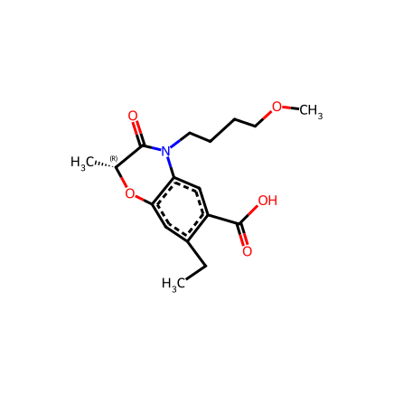 CCc1cc2c(cc1C(=O)O)N(CCCCOC)C(=O)[C@@H](C)O2